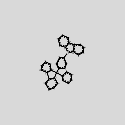 c1ccc(C2(c3ccc(-n4c5ccccc5c5ccccc54)cc3)c3ccccc3-c3ccccc32)cc1